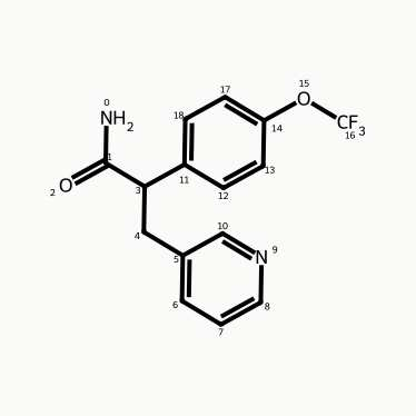 NC(=O)C(Cc1cccnc1)c1ccc(OC(F)(F)F)cc1